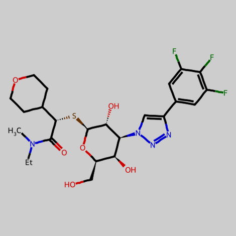 CCN(C)C(=O)[C@@H](S[C@@H]1O[C@H](CO)[C@H](O)[C@H](n2cc(-c3cc(F)c(F)c(F)c3)nn2)[C@H]1O)C1CCOCC1